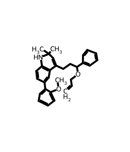 C=CCOC(CCC1=CC(C)(C)Nc2ccc(-c3ccccc3OC)cc21)c1ccccc1